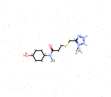 CCN(C(=O)CCSCc1nnnn1C)C1CCC(O)CC1